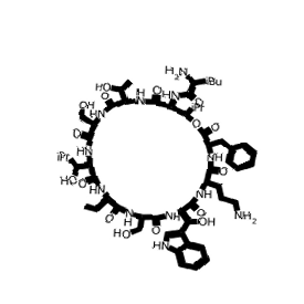 C/C=C1\NC(=O)C(C(O)C(C)C)NC(=O)C(CO)NC(=O)C(C(C)O)NC(=O)C(NC(=O)C(N)C(C)CC)C(C(C)C)OC(=O)C(Cc2ccccc2)NC(=O)C(CCCN)NC(=O)/C(=C(\O)c2c[nH]c3ccccc23)NC(=O)C(CO)NC1=O